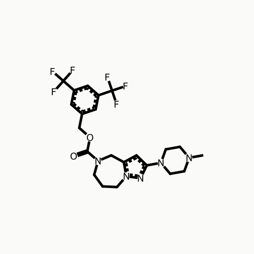 CN1CCN(c2cc3n(n2)CCCN(C(=O)OCc2cc(C(F)(F)F)cc(C(F)(F)F)c2)C3)CC1